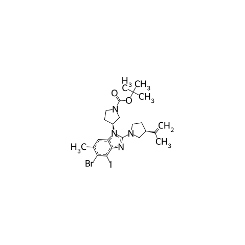 C=C(C)[C@@H]1CCN(c2nc3c(I)c(Br)c(C)cc3n2[C@H]2CCN(C(=O)OC(C)(C)C)C2)C1